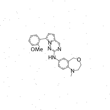 COc1ccccc1-c1ccc2cnc(Nc3ccc4c(c3)COCCN4C)nn12